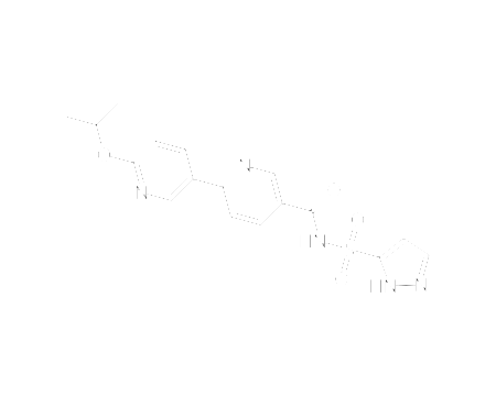 CC(C)Oc1ccc(-c2ccc(C(=O)NS(=O)(=O)c3ccn[nH]3)cn2)cn1